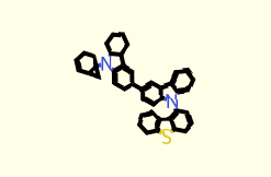 C1=CC2=C(CC1)SC1CC=CC(N3C4=CCCC=C4C4C=C(C5C=C6C(=CC5)N(C57CCC=CC5C7)C5CCCCC65)C=CC43)=C21